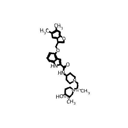 Cc1cc2occ(COc3cccc4[nH]c(C(=O)NC5CCN(C[C@H](C)N6CC[C@H](O)[C@@H](C)C6)CC5)cc34)c2cc1C